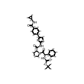 CC(C)(C)OC(=O)N[C@@H](C(=O)N1CSC[C@H]1C(=O)Nc1nc(-c2ccc(C(=O)NC3CC3)cc2)cs1)c1ccccc1